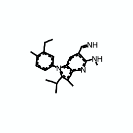 CCc1cc(-n2c(C(C)C)c(C)c3nc(NC)c(C=N)cc32)ccc1C